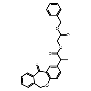 CC(C(=O)OCC(=O)OCc1ccccc1)c1ccc2c(c1)C(=O)c1ccccc1CO2